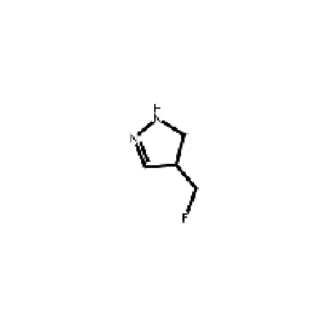 FCC1[C]NN=[C]1